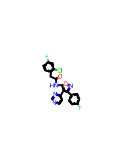 O=C(Cc1ccc(F)cc1Cl)Nc1onc(-c2ccc(F)cc2)c1-c1ccncn1